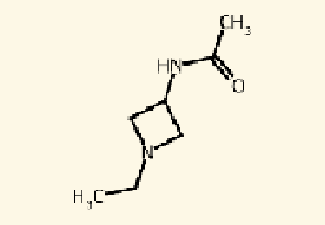 CCN1CC(NC(C)=O)C1